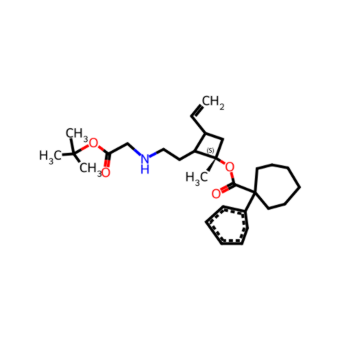 C=CC1C[C@](C)(OC(=O)C2(c3ccccc3)CCCCCC2)C1CCNCC(=O)OC(C)(C)C